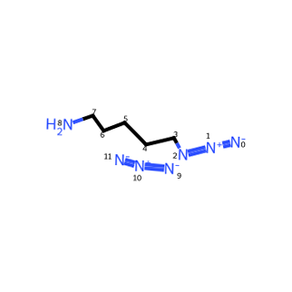 [N-]=[N+]=NCCCCCN.[N-]=[N+]=[N-]